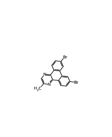 Cc1cnc2c3ccc(Br)cc3c3cc(Br)ccc3c2n1